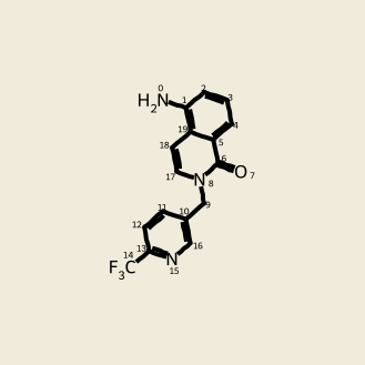 Nc1cccc2c(=O)n(Cc3ccc(C(F)(F)F)nc3)ccc12